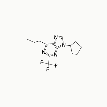 CCCc1nc(C(F)(F)F)nc2c1ncn2C1CCCC1